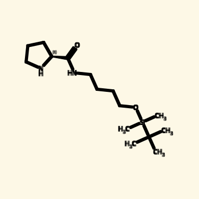 CC(C)(C)[Si](C)(C)OCCCCNC(=O)[C@@H]1CCCN1